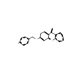 O=C1C2=CCC(NCc3ccc(F)cc3)=CC2=Nc2ccccc21